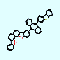 c1ccc2c(c1)oc1c2ccc2ccc3c4cc(-c5c6ccccc6c(-c6ccc7c(c6)sc6ccccc67)c6ccccc56)ccc4oc3c21